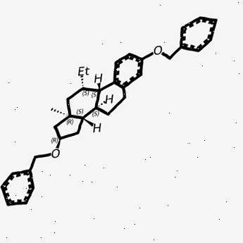 CC[C@H]1C[C@]2(C)C[C@H](OCc3ccccc3)C[C@H]2[C@@H]2CCc3cc(OCc4ccccc4)ccc3[C@@H]12